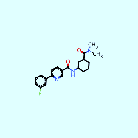 CN(C)C(=O)C1CCCC(NC(=O)c2ccc(-c3cccc(F)c3)nc2)C1